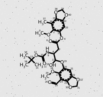 COc1c(OC(=O)CC(NC(=O)OC(C)(C)C)C(O)Oc2cc3c(c(C=O)c2OC)OCO3)cc2c(c1C)OCO2